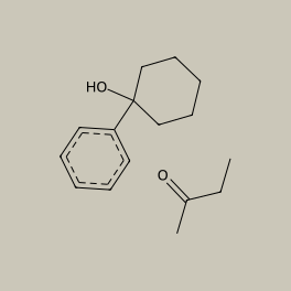 CCC(C)=O.OC1(c2ccccc2)CCCCC1